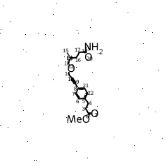 COC(=O)CCc1ccc(C#CCOC[C@@H](C)CCC(N)=O)cc1